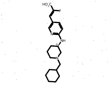 O=C(O)C(F)=Cc1ccc(N[C@@H]2CCCN(CC3CCCCC3)C2)nc1